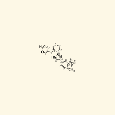 CSC(C=O)CN1CCCCC1c1nc(-c2ccc(C)c(C(F)(F)F)c2)c[nH]1